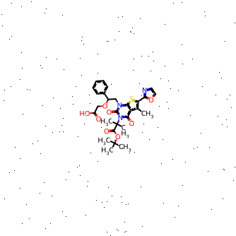 Cc1c(-c2ncco2)sc2c1c(=O)n(C(C)(C)C(=O)OC(C)(C)C)c(=O)n2CC(OCC(=O)O)c1ccccc1